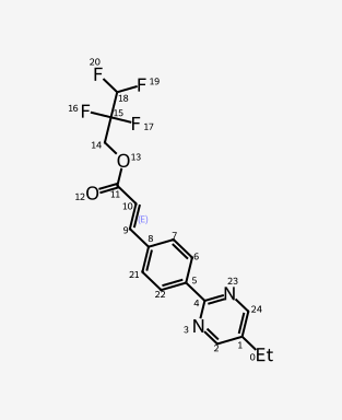 CCc1cnc(-c2ccc(/C=C/C(=O)OCC(F)(F)C(F)F)cc2)nc1